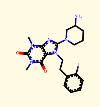 Cn1c(=O)c2c(nc(N3CCCC(N)C3)n2CCc2ccccc2I)n(C)c1=O